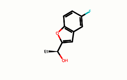 CC[C@H](O)c1cc2cc(F)ccc2o1